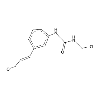 [O]CC=Cc1cccc(NC(=O)NCCl)c1